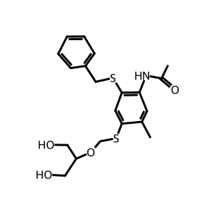 CC(=O)Nc1cc(C)c(SCOC(CO)CO)cc1SCc1ccccc1